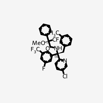 CO[C@](C(=O)N[C@@](Cc1cccc(C)c1)(c1cc(F)cc(C(F)(F)F)c1)c1ccc(Cl)cn1)(c1ccccc1)C(F)(F)F